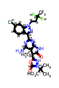 CC(C)(C(=O)O)n1nc([C@]2(C)C(=O)Nc3nc(-c4nn(CCC(F)(F)C(F)(F)F)c5cc(Cl)ccc45)nc(N)c32)oc1=O